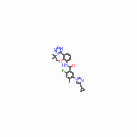 Cc1cc(F)c(C(=O)Nc2cccc3c2OCC(C)(C)n2nnnc2-3)cc1-n1cnc(C2CC2)c1